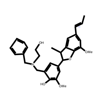 C/C=C/c1cc(OC)c2c(c1)C(C)C(c1cc(CN(CCO)Cc3ccccc3)c(O)c(OC)c1)O2